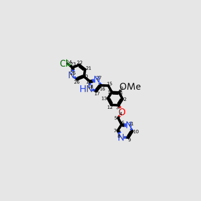 COc1cc(OCc2cnccn2)ccc1Cc1c[nH]c(-c2ccc(Cl)nc2)n1